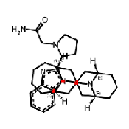 NC(=O)CN1CCCC1c1nc2ccccc2n1C1C[C@H]2CCC[C@@H](C1)N2C1C[C@H]2CCCC[C@@H](C1)C2